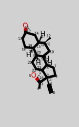 C#C[C@]1(C(C)=O)CC[C@H]2[C@@H]3C[C@H](C)[C@H]4CC(=O)CC[C@@H]4[C@H]3CC[C@@]21C